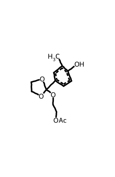 CC(=O)OCCOC1(c2ccc(O)c(C)c2)OCCO1